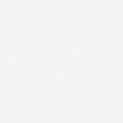 Cc1cc(NC(=O)C2(NC(=O)Oc3ccc(Br)s3)CCCC2)ccc1N1CCOCCC1=S